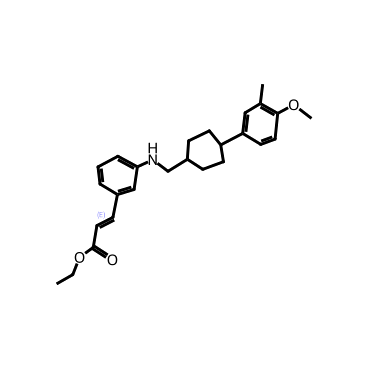 CCOC(=O)/C=C/c1cccc(NCC2CCC(c3ccc(OC)c(C)c3)CC2)c1